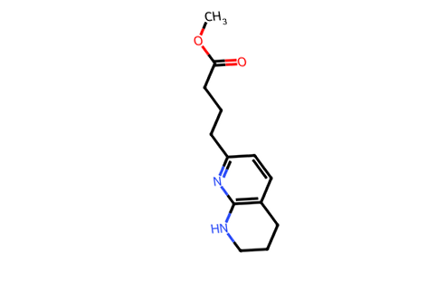 COC(=O)CCCc1ccc2c(n1)NCCC2